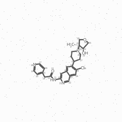 C[C@]1(N2CCC(c3cc4cc(NC(=O)Cc5ccncc5)ncc4cc3Cl)CC2)COC[C@H]1O